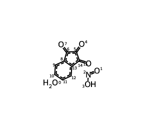 O.O=NO.O=c1c(=O)c2ccccc2c1=O